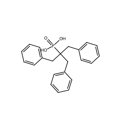 O=P(O)(O)C(Cc1ccccc1)(Cc1ccccc1)Cc1ccccc1